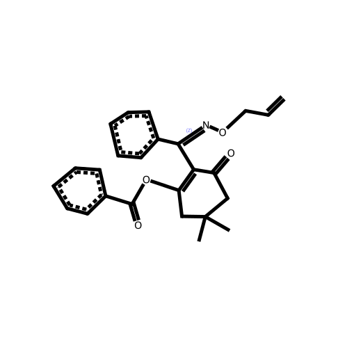 C=CCO/N=C(\C1=C(OC(=O)c2ccccc2)CC(C)(C)CC1=O)c1ccccc1